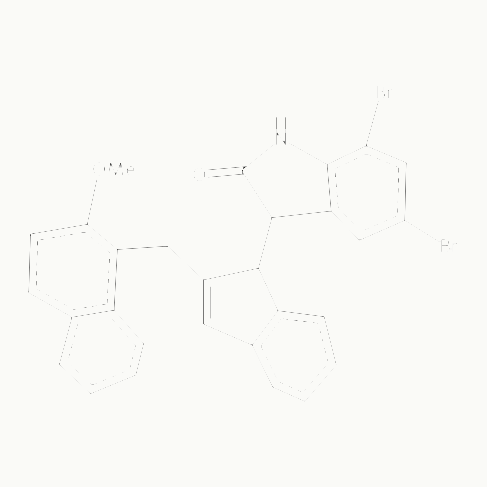 COc1ccc2ccccc2c1CC1=Cc2ccccc2C1C1C(=O)Nc2c(Br)cc(Br)cc21